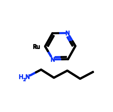 CCCCCN.[Ru].c1cnccn1